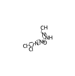 C#CCN1CCN[C@@H](C(=O)N2CCN(c3ccc(Cl)c(Cl)c3)CC2)C1